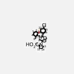 Cc1cccc(C)c1N(CC(=O)N1CCC[C@H]1C(=O)O)C(=O)c1ccc(Cl)cc1